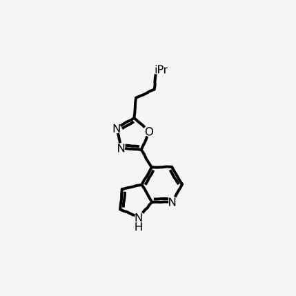 CC(C)CCc1nnc(-c2ccnc3[nH]ccc23)o1